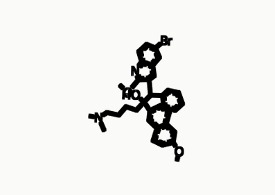 COc1ccc2cc(C(O)(CCCCN(C)C)C(c3ccccc3)c3cc4cc(Br)ccc4nc3OC)ccc2c1